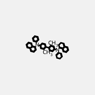 Cc1cc(N(C2=CCCC=C2)C2=c3ccccc3=CCC2)ccc1-c1ccc(N(c2ccccc2)c2cccc3ccccc23)cc1C